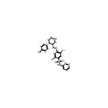 O=S(=O)(Nc1cccnn1)c1cc(F)c(OC[C@@H]2CNCC[C@H]2c2ccc(Cl)cc2)cc1F